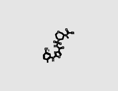 CCC(=O)N(C)C1COCCN(S(=O)(=O)NC(=O)c2coc(Nc3cc(C(F)(F)F)ccc3C)n2)C1